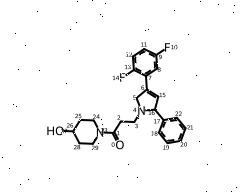 O=C(CCN1CC(c2cc(F)ccc2F)=CC1c1ccccc1)N1CCC(O)CC1